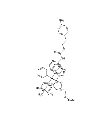 COOC[C@@H]1C[C@@H](O[Si](C)(C)C(C)(C)C)[C@@](n2cnc3c(NC(=O)OCCc4ccc([N+](=O)[O-])cc4)ncnc32)(C(c2ccccc2)(c2ccccc2)c2ccccc2)O1